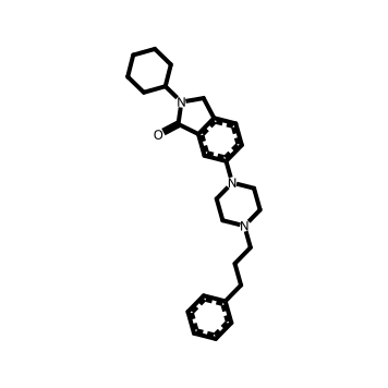 O=C1c2cc(N3CCN(CCCc4ccccc4)CC3)ccc2CN1C1CCCCC1